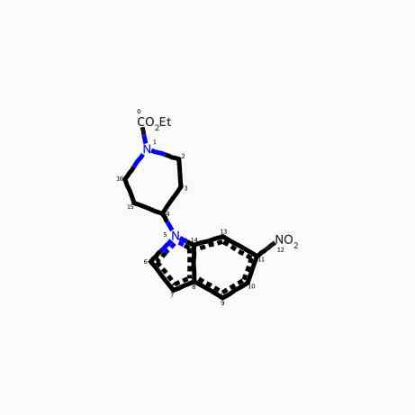 CCOC(=O)N1CCC(n2ccc3ccc([N+](=O)[O-])cc32)CC1